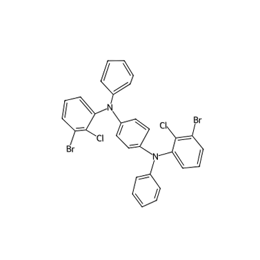 Clc1c(Br)cccc1N(c1ccccc1)c1ccc(N(c2ccccc2)c2cccc(Br)c2Cl)cc1